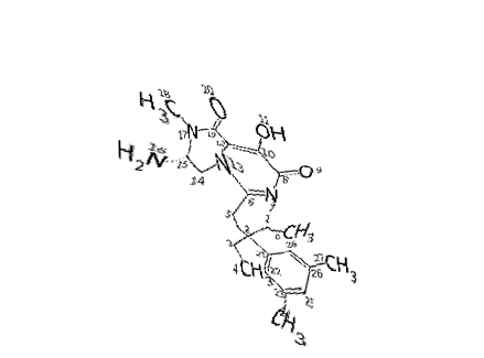 CCC(CC)(Cc1nc(=O)c(O)c2n1C[C@H](N)N(C)C2=O)c1cc(C)cc(C)c1